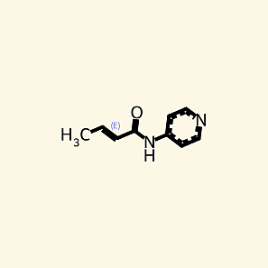 C/C=C/C(=O)Nc1ccncc1